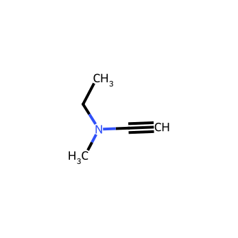 C#CN(C)CC